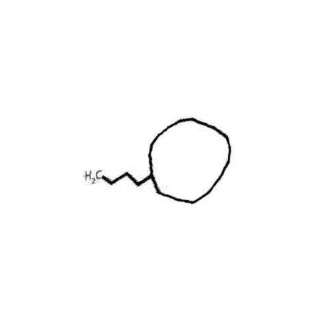 [CH2]CCCC1CCCCCCCCCCCCCCC1